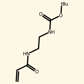 C=CC(=O)NCCNC(=O)OC(C)(C)C